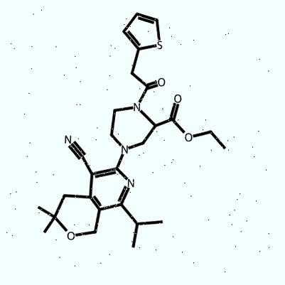 CCOC(=O)C1CN(c2nc(C(C)C)c3c(c2C#N)CC(C)(C)OC3)CCN1C(=O)Cc1cccs1